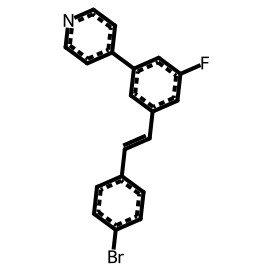 Fc1cc(C=Cc2ccc(Br)cc2)cc(-c2ccncc2)c1